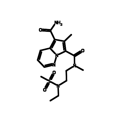 CCN(CCN(C)C(=O)c1c(C)c(C(N)=O)c2cccnn12)S(C)(=O)=O